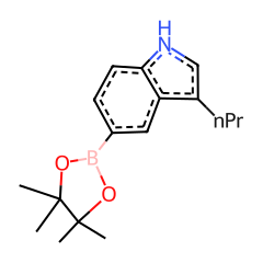 CCCc1c[nH]c2ccc(B3OC(C)(C)C(C)(C)O3)cc12